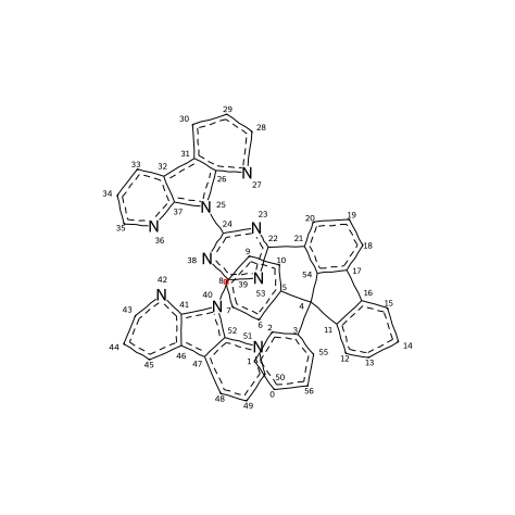 c1ccc(C2(c3ccccc3)c3ccccc3-c3cccc(-c4nc(-n5c6ncccc6c6cccnc65)nc(-n5c6ncccc6c6cccnc65)n4)c32)cc1